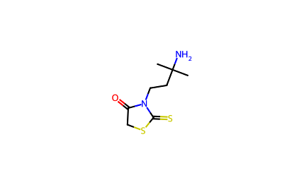 CC(C)(N)CCN1C(=O)CSC1=S